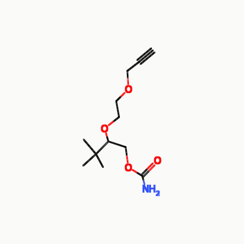 C#CCOCCOC(COC(N)=O)C(C)(C)C